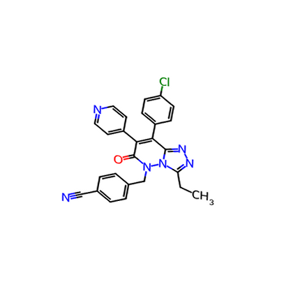 CCc1nnc2c(-c3ccc(Cl)cc3)c(-c3ccncc3)c(=O)n(Cc3ccc(C#N)cc3)n12